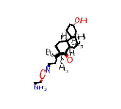 CC[C@H](C/C=N/OCCN)[C@@]1(C)CC[C@H]2[C@@H](CC[C@@H]3C[C@@H](O)CC[C@@]32C)C1=O